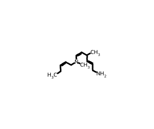 CC/C=C\CN(C)/C=C\C(C)/C=C/CN